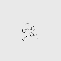 CC(=O)O[C@H]1C[N+]2(CC(=O)c3cccs3)CCC1CC2.O=C(Nc1ccccc1)c1ccccc1.O=C([O-])C(F)(F)F